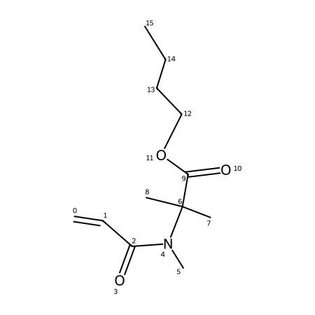 C=CC(=O)N(C)C(C)(C)C(=O)OCCCC